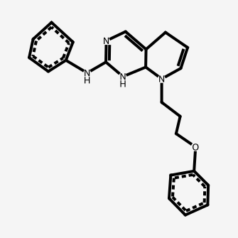 C1=CN(CCCOc2ccccc2)C2NC(Nc3ccccc3)=NC=C2C1